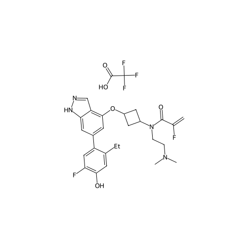 C=C(F)C(=O)N(CCN(C)C)C1CC(Oc2cc(-c3cc(F)c(O)cc3CC)cc3[nH]ncc23)C1.O=C(O)C(F)(F)F